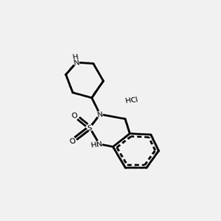 Cl.O=S1(=O)Nc2ccccc2CN1C1CCNCC1